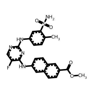 COC(=O)c1ccc2cc(Nc3nc(Nc4ccc(C)c(S(N)(=O)=O)c4)ncc3F)ccc2c1